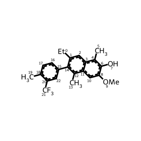 CCc1cc2c(C)c(O)c(OC)cc2c(C)c1-c1ccc(C)c(C(F)(F)F)c1